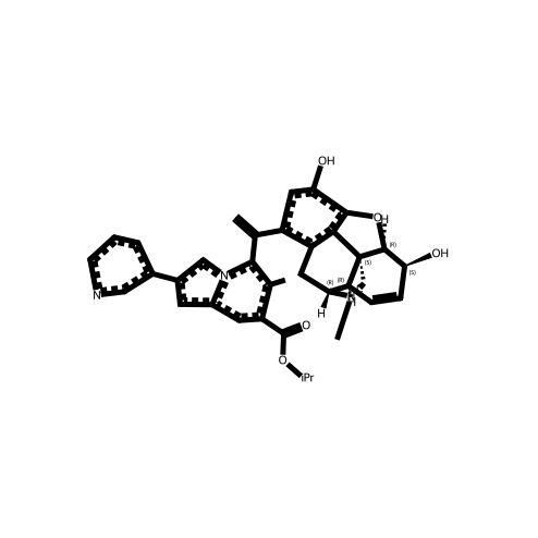 C=C(c1cc(O)c2c3c1C[C@@H]1[C@@H]4C=C[C@H](O)[C@H](O2)[C@]34CCN1C)c1c(C)c(C(=O)OC(C)C)cc2cc(-c3cccnc3)cn12